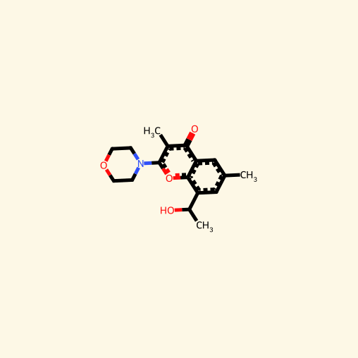 Cc1cc(C(C)O)c2oc(N3CCOCC3)c(C)c(=O)c2c1